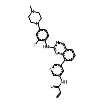 C=CC(=O)Nc1cncc(-c2cccc3cnc(Nc4ccc(N5CCN(C)CC5)cc4F)nc23)c1